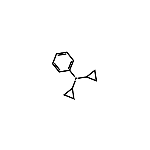 c1ccc(P(C2CC2)C2CC2)cc1